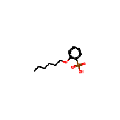 CCCCCCOc1ccccc1S(=O)(=O)O